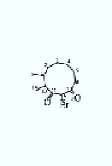 CC1CCCCCC(=O)C(Br)C(=O)C1C